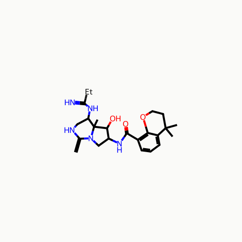 C=C1NCC(NC(=N)CC)C2(C)C(O)C(NC(=O)c3cccc4c3OCCC4(C)C)CN12